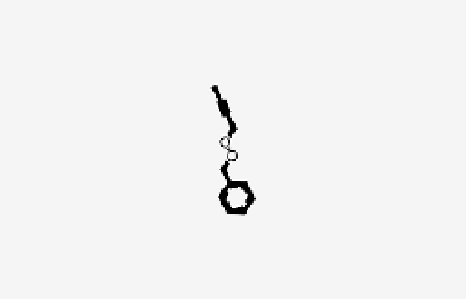 CC#CCOOCc1ccccc1